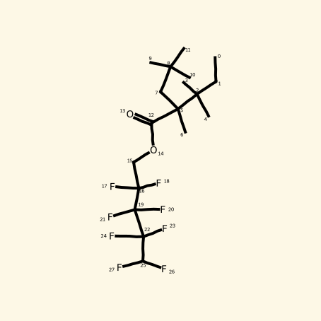 CCC(C)(C)C(C)(CC(C)(C)C)C(=O)OCC(F)(F)C(F)(F)C(F)(F)C(F)F